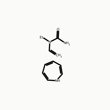 C1=CC=CNC=C1.C=CN(CC)C(N)=O